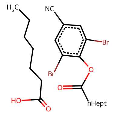 CCCCCCC(=O)O.CCCCCCCC(=O)Oc1c(Br)cc(C#N)cc1Br